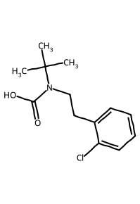 CC(C)(C)N(CCc1ccccc1Cl)C(=O)O